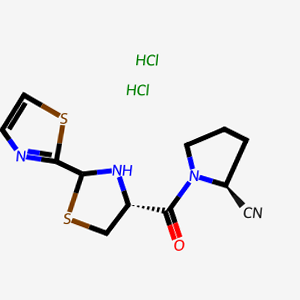 Cl.Cl.N#C[C@@H]1CCCN1C(=O)[C@@H]1CSC(c2nccs2)N1